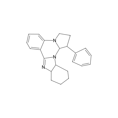 c1ccc(C2CCN3c4ccccc4C4=NC5CCCCC5N4C23)cc1